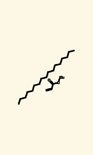 C=CC(=O)OC(C)(C)C.CCCCCCCCCCCCCCCCC